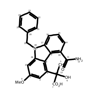 COc1cc(C(C)(O)C(=O)O)c2c3c(C(N)=O)cccc3n(Cc3ccccc3)c2c1